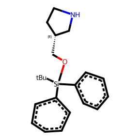 CC(C)(C)[Si](OC[C@@H]1CCNC1)(c1ccccc1)c1ccccc1